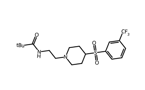 CC(C)(C)C(=O)NCCN1CCC(S(=O)(=O)c2cccc(C(F)(F)F)c2)CC1